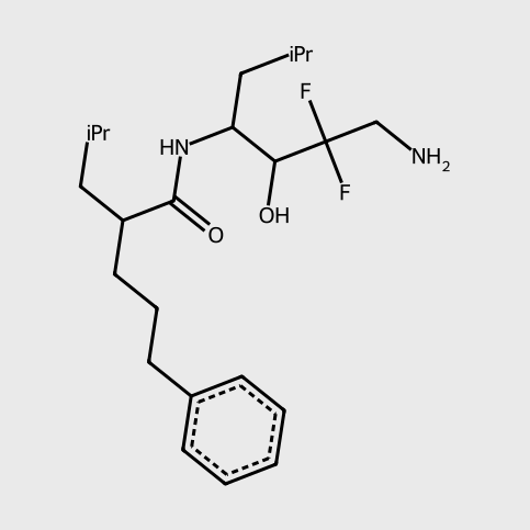 CC(C)CC(CCCc1ccccc1)C(=O)NC(CC(C)C)C(O)C(F)(F)CN